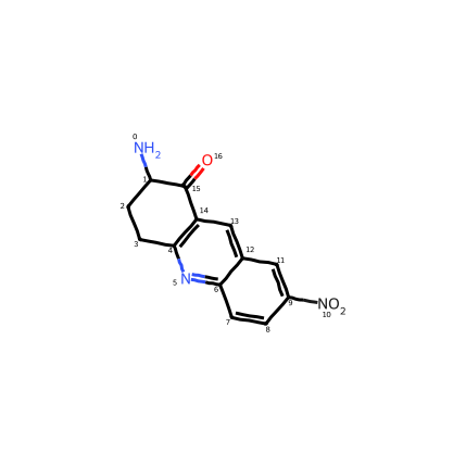 NC1CCc2nc3ccc([N+](=O)[O-])cc3cc2C1=O